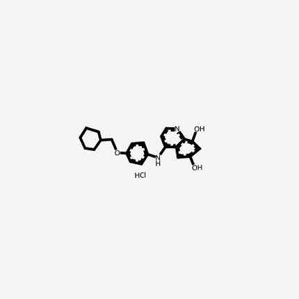 Cl.Oc1cc(O)c2nccc(Nc3ccc(OCC4CCCCC4)cc3)c2c1